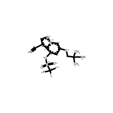 CC(C)(O)COc1cc(OS(=O)(=O)C(F)(F)F)c2c(C#N)cnn2c1